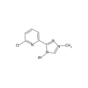 CC(C)n1c[n+](C)nc1-c1cccc(Cl)n1